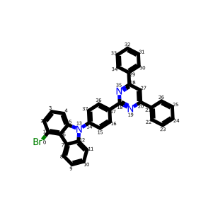 Brc1cccc2c1c1ccccc1n2-c1ccc(-c2nc(-c3ccccc3)cc(-c3ccccc3)n2)cc1